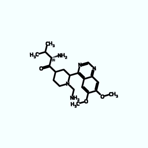 COc1cc2ncnc(C3CC(C(=O)[C@@H](N)C(C)C)CCN3CN)c2cc1OC